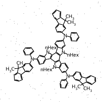 CCCCCCn1c2cc(N(c3ccccc3)c3ccc4c(c3)C(C)(C)c3ccccc3-4)ccc2c2c1c1c3ccc(N(c4ccccc4)c4ccc5c(c4)C(C)(C)c4ccccc4-5)cc3n(CCCCCC)c1c1c3ccc(N(c4ccccc4)c4ccc5c(c4)C(C)(C)c4ccccc4-5)cc3n(CCCCCC)c21